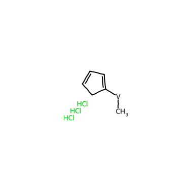 Cl.Cl.Cl.[CH3][V][C]1=CC=CC1